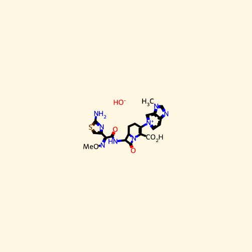 CON=C(C(=O)NC1C(=O)N2C(C(=O)O)=C([n+]3ccc4ncn(C)c4c3)CCC12)c1csc(N)n1.[OH-]